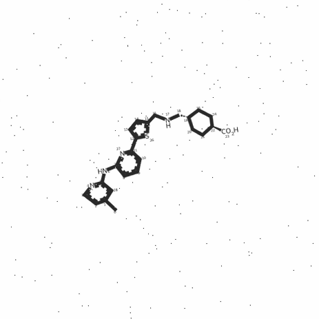 Cc1ccnc(Nc2cccc(-c3ccc(CNC[C@H]4CC[C@H](C(=O)O)CC4)s3)n2)c1